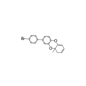 CC12CC=CC=C1Oc1ccc(-c3ccc(Br)cc3)cc1O2